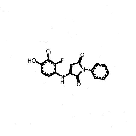 O=C1C=C(Nc2ccc(O)c(Cl)c2F)C(=O)N1c1ccccc1